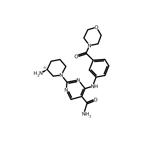 NC(=O)c1cnc(N2CCC[C@H](N)C2)nc1Nc1cccc(C(=O)N2CCOCC2)c1